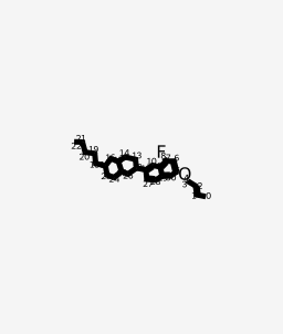 C/C=C/COc1cc(F)c2cc(C3CCC4CC(CCCCC)CCC4C3)ccc2c1